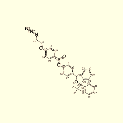 CC(C)(C)[Si](OCc1ccc(OC(=O)c2ccc(OCCN=[N+]=[N-])cc2)cc1)(c1ccccc1)c1ccccc1